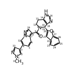 Cn1cc(-c2ccc3c(C(=O)N4CCc5[nH]cnc5[C@H]4c4cc5ccccc5o4)cnn3c2)cn1